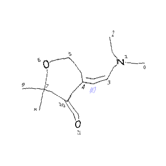 CN(C)/C=C1\COC(C)(C)C1=O